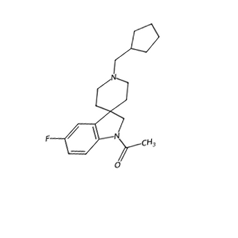 CC(=O)N1CC2(CCN(CC3CCCC3)CC2)c2cc(F)ccc21